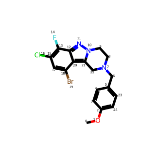 COc1ccc(CN2CCn3nc4c(F)c(Cl)cc(Br)c4c3C2)cc1